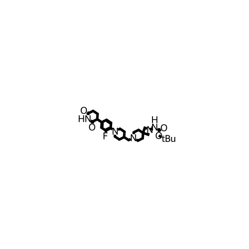 CC(C)(C)OC(=O)NN1CC2(CCN(CC3CCN(c4ccc(C5CCC(=O)NC5=O)cc4F)CC3)CC2)C1